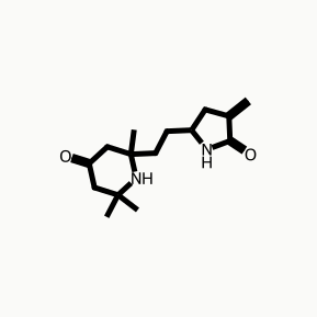 C=C1CC(CCC2(C)CC(=O)CC(C)(C)N2)NC1=O